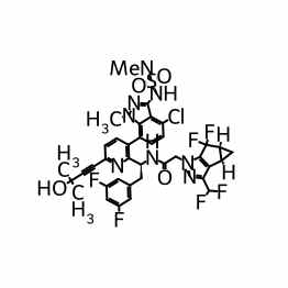 CNS(=O)(=O)Nc1nn(C)c2c(-c3ccc(C#CC(C)(C)O)nc3[C@H](Cc3cc(F)cc(F)c3)NC(=O)Cn3nc(C(F)F)c4c3C(F)(F)[C@@H]3C[C@H]43)ccc(Cl)c12